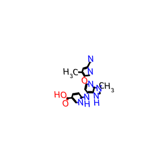 Cc1cc(C#N)ncc1Oc1cc(Nc2ccc(C(=O)O)cn2)c2c(n1)N(C)CN2